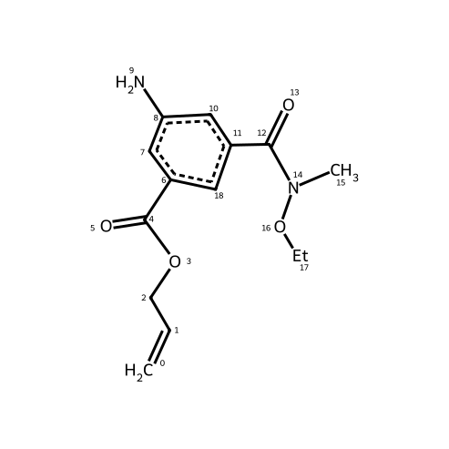 C=CCOC(=O)c1cc(N)cc(C(=O)N(C)OCC)c1